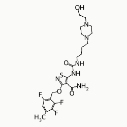 Cc1cc(F)c(COc2nsc(NC(=O)NCCCCN3CCN(CCO)CC3)c2C(N)=O)c(F)c1F